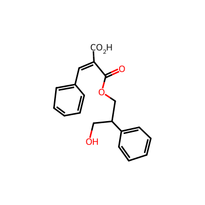 O=C(O)C(=Cc1ccccc1)C(=O)OCC(CO)c1ccccc1